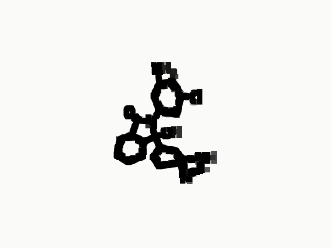 Nc1cc(Cl)cc(N2C(=O)c3ccccc3C2(O)c2ccc3n[c][nH]c3c2)c1